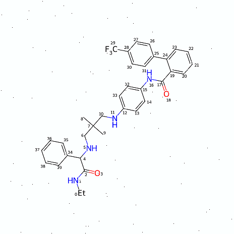 CCNC(=O)C(NCC(C)(C)CNc1ccc(NC(=O)c2ccccc2-c2ccc(C(F)(F)F)cc2)cc1)c1ccccc1